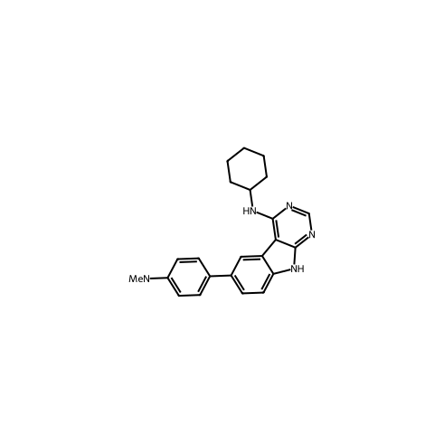 CNc1ccc(-c2ccc3[nH]c4ncnc(NC5CCCCC5)c4c3c2)cc1